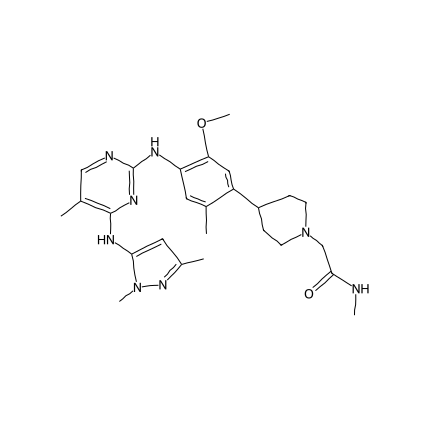 CNC(=O)CN1CCC(c2cc(OC)c(Nc3ncc(C)c(Nc4cc(C)nn4C)n3)cc2C)CC1